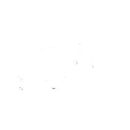 CNC(C)C(=O)N[C@H](C(=O)N1CCC[C@H]1C(=O)Nc1snnc1-c1ccccc1)C1CCCCC1